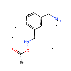 CCC(=O)ONCc1cccc(CN)c1